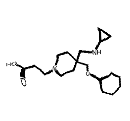 O=C(O)CCN1CCC(CNC2CC2)(COC2CCCCC2)CC1